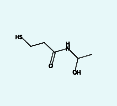 CC(O)NC(=O)CCS